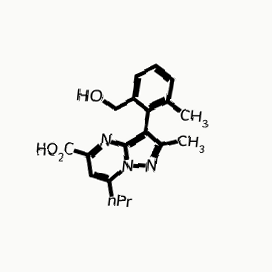 CCCc1cc(C(=O)O)nc2c(-c3c(C)cccc3CO)c(C)nn12